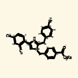 COC(=O)c1ccc(Cn2cc(-c3ccc(Cl)cc3Cl)nc2Cc2ccc(Br)cc2)cc1